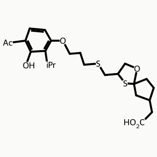 CC(=O)c1ccc(OCCCSCC2COC3(CCC(CC(=O)O)C3)S2)c(C(C)C)c1O